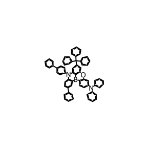 c1ccc(-c2ccc(N3c4ccc(-c5ccccc5)cc4B4c5ccc(N(c6ccccc6)c6ccccc6)cc5Oc5cc(C(c6ccccc6)(c6ccccc6)c6ccccc6)cc3c54)cc2)cc1